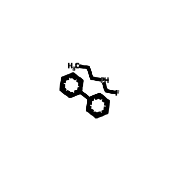 CCCPCF.c1ccc(-c2ccccc2)cc1